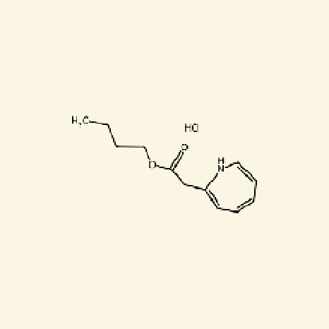 CCCCOC(=O)CC1=CC=CC=CN1.Cl